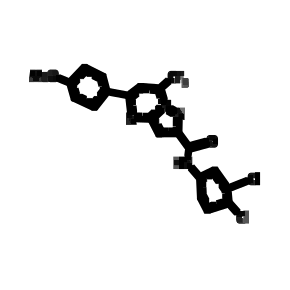 COc1ccc(-c2cc(C(F)(F)F)n3nc(C(=O)Nc4ccc(Cl)c(Cl)c4)cc3n2)cc1